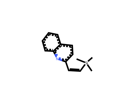 C[Si](C)(C)/C=C\c1ccc2ccccc2n1